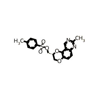 Cc1ccc(S(=O)(=O)OC[C@H]2COc3ccc4nc(C)ncc4c3O2)cc1